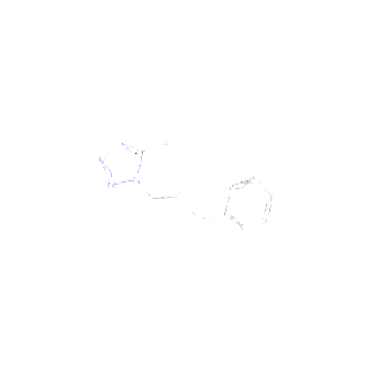 Ic1nnnn1COCc1ccccc1